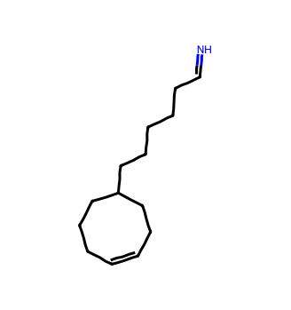 N=CCCCCCC1CC/C=C\CCC1